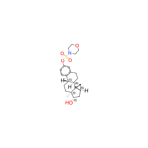 C[C@]12CC[C@@H]3c4ccc(OS(=O)(=O)N5CCOCC5)cc4CC[C@H]3[C@@]13C[C@H]3C[C@@H]2O